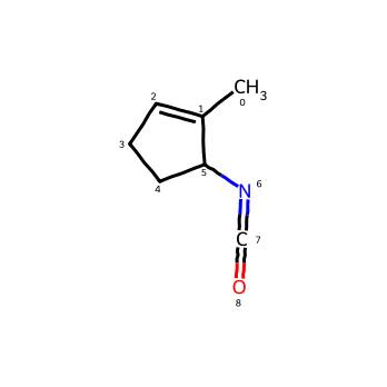 CC1=CCCC1N=C=O